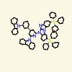 c1ccc(S(c2ccccc2)(c2ccccc2)c2ccc3nc4n(-c5cc(-c6cccc(-n7c8ccccc8c8ccccc87)c6)cc(-n6c7ccccc7c7ccccc76)n5)c5ccc(S(c6ccccc6)(c6ccccc6)c6ccccc6)cc5n4c3c2)cc1